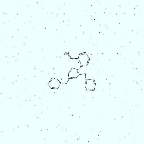 N=CC1C=CC=CN1c1ccc(Cc2ccccc2)cc1Cc1ccccc1